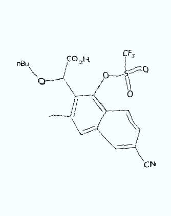 CCCCOC(C(=O)O)c1c(C)cc2cc(C#N)ccc2c1OS(=O)(=O)C(F)(F)F